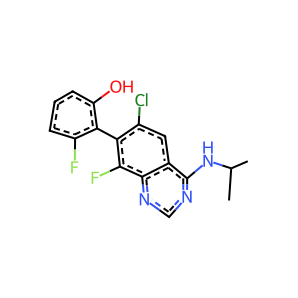 CC(C)Nc1ncnc2c(F)c(-c3c(O)cccc3F)c(Cl)cc12